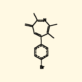 C=C1C=C(c2ccc(Br)cc2)C(C)=C(C)N=C1C